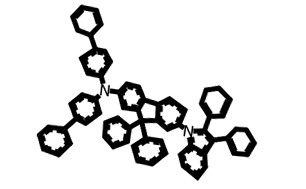 C1=CCCC(c2c(C3=CCCC=C3)n(-c3ccc4c(c3)C(c3ccccc3)(c3ccccc3)c3cc(N(c5ccc(-c6ccccc6)cc5)c5ccc(C6C=CC=CC6)cc5)ccc3-4)c3ccccc23)=C1